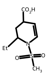 CCC1CC(C(=O)O)C=CN1S(C)(=O)=O